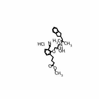 CCOC(=O)CCCc1cccc(C#N)c1OC[C@H](O)CNC(C)(C)CC1Cc2ccccc2C1.Cl